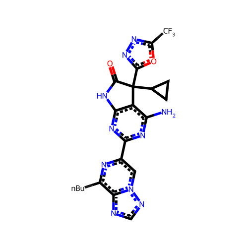 CCCCc1nc(-c2nc(N)c3c(n2)NC(=O)C3(c2nnc(C(F)(F)F)o2)C2CC2)cn2ncnc12